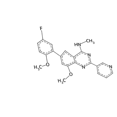 CNc1nc(-c2cccnc2)nc2c(OC)cc(-c3cc(F)ccc3OC)cc12